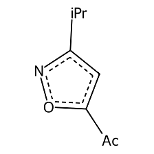 CC(=O)c1cc(C(C)C)no1